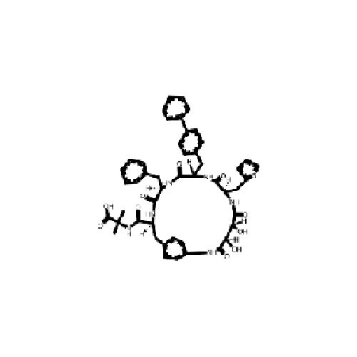 CC(C)(NC(=O)[C@@H]1Cc2ccc(cc2)NC(=O)[C@H](O)[C@@H](O)C(=O)N[C@H](Cc2cccs2)C(=O)N[C@@H](Cc2ccc(-c3ccccc3)cc2)C(=O)N[C@H](Cc2ccccc2)C(=O)N1)C(=O)O